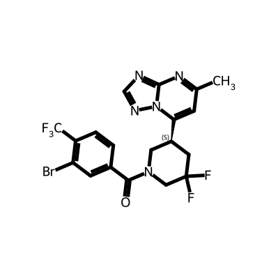 Cc1cc([C@@H]2CN(C(=O)c3ccc(C(F)(F)F)c(Br)c3)CC(F)(F)C2)n2ncnc2n1